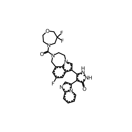 O=C(N1CCn2cc(-c3[nH][nH]c(=O)c3-c3cnc4ccccn34)c3cc(F)cc(c32)C1)N1CCOCC(F)(F)C1